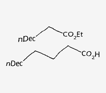 CCCCCCCCCCCC(=O)OCC.CCCCCCCCCCCCCC(=O)O